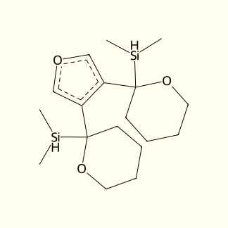 C[SiH](C)C1(c2cocc2C2([SiH](C)C)CCCCO2)CCCCO1